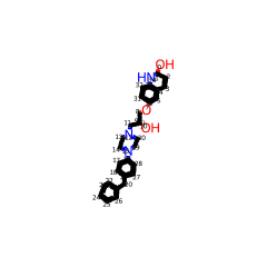 OC1C=Cc2cc(OC[C@@H](O)CN3CCN(c4ccc(Cc5ccccc5)cc4)CC3)ccc2N1